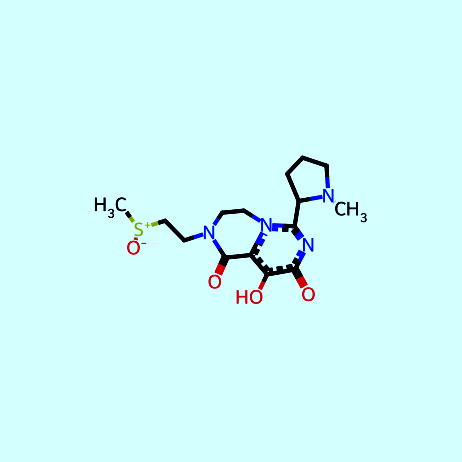 CN1CCCC1c1nc(=O)c(O)c2n1CCN(CC[S+](C)[O-])C2=O